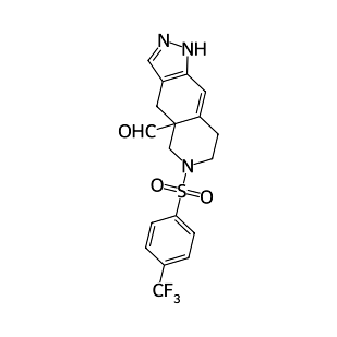 O=CC12Cc3cn[nH]c3C=C1CCN(S(=O)(=O)c1ccc(C(F)(F)F)cc1)C2